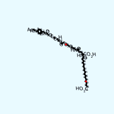 CC(=O)CNc1ccc(CNC(=O)COCCOCCNC(=O)COCCOCCNC(=O)CC[C@H](NC(=O)CCCCCCCCCCCCCCCCC(=O)O)C(=O)O)cc1